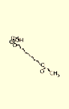 CC=CC(=O)OCCCCCCCCCCOP(=O)(O)O